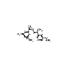 CSc1cncc(C(C)CCC(C)c2cc(C)cc(N)c2)c1